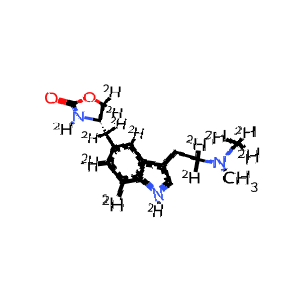 [2H]c1c(C([2H])([2H])[C@@H]2N([2H])C(=O)OC2([2H])[2H])c([2H])c2c(CC([2H])([2H])N(C)C([2H])([2H])[2H])cn([2H])c2c1[2H]